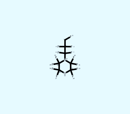 FCC(F)(F)C(F)(F)N1C(F)(F)C(F)(F)OC(F)(F)C1(F)F